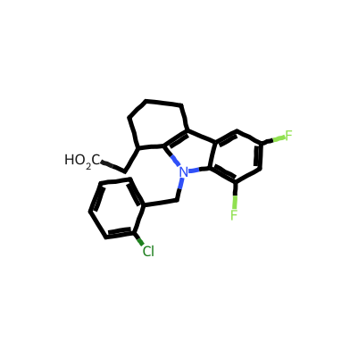 O=C(O)CC1CCCc2c1n(Cc1ccccc1Cl)c1c(F)cc(F)cc21